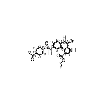 CCOC(=O)c1c[nH]c2c(=O)[nH]c3ccc(N[S+]([O-])c4ccc(C(C)=O)cc4)cc3c12